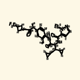 CCn1nccc1C(=O)N[C@H](C(=O)Nc1ccc([C@H](C)C(=O)N2CC(C(F)(F)F)C2)cc1F)C(C1CC1)C1CC1